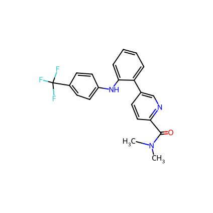 CN(C)C(=O)c1ccc(-c2ccccc2Nc2ccc(C(F)(F)F)cc2)cn1